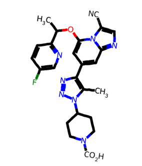 Cc1c(-c2cc(OC(C)c3ccc(F)cn3)n3c(C#N)cnc3c2)nnn1C1CCN(C(=O)O)CC1